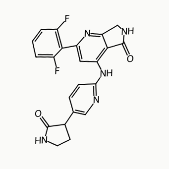 O=C1NCc2nc(-c3c(F)cccc3F)cc(Nc3ccc(C4CCNC4=O)cn3)c21